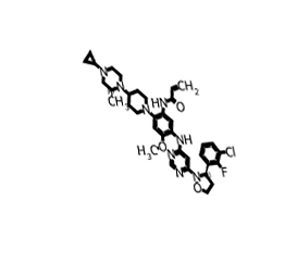 C=CC(=O)Nc1cc(Nc2cc(N3OCC[C@@H]3c3cccc(Cl)c3F)ncn2)c(OC)cc1N1CCC(N2CCN(C3CC3)C[C@H]2C)CC1